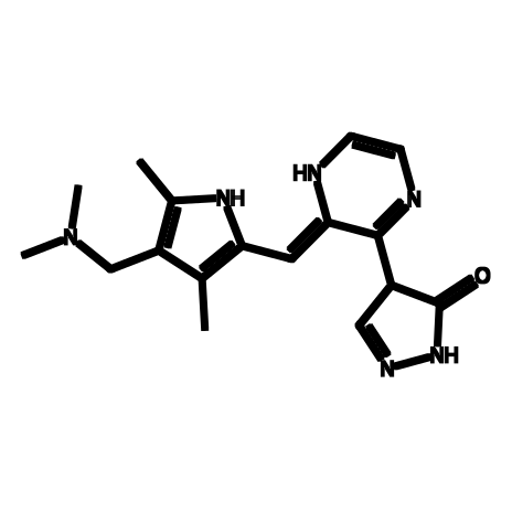 Cc1[nH]c(C=C2NC=CN=C2C2C=NNC2=O)c(C)c1CN(C)C